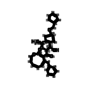 CCO[C@H](C(=O)c1c(Cc2ccccc2)ccccco[n+]1[O-])[C@H](O)c1ccc(OCc2ccccc2)cc1C